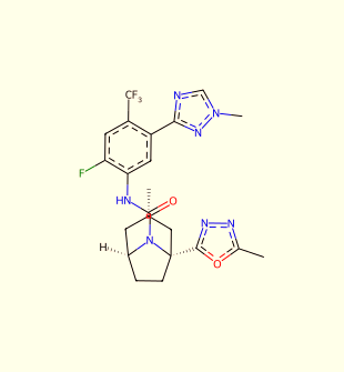 Cc1nnc([C@@]23CC[C@@H](C[C@H](C)C2)N3C(=O)Nc2cc(-c3ncn(C)n3)c(C(F)(F)F)cc2F)o1